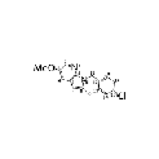 COc1cnc2c(c1)cc(C)n2Cc1ccc(Cl)cc1